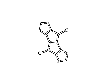 O=c1c2c3ccsc3c(=O)c=2c2ccsc12